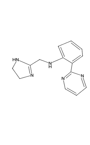 c1cnc(-c2ccccc2NCC2=NCCN2)nc1